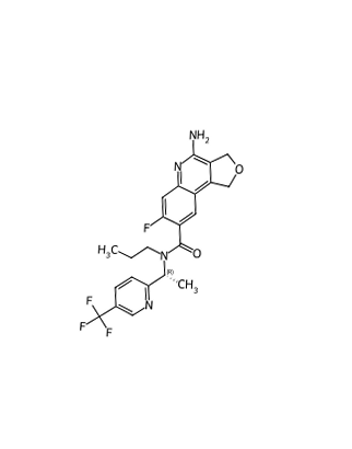 CCCN(C(=O)c1cc2c3c(c(N)nc2cc1F)COC3)[C@H](C)c1ccc(C(F)(F)F)cn1